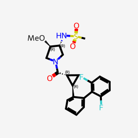 CO[C@@H]1CN(C(=O)[C@@H]2C[C@H]2c2ccccc2-c2c(F)cccc2F)C[C@H]1NS(C)(=O)=O